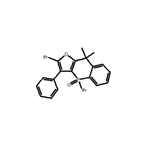 CC(C)c1oc2c(c1-c1ccccc1)P(=O)(C(C)C)c1ccccc1C2(C)C